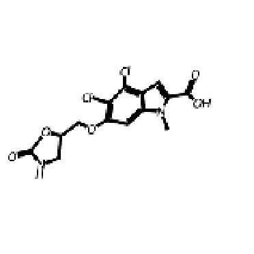 Cn1c(C(=O)O)cc2c(Cl)c(Cl)c(OCC3CNC(=O)O3)cc21